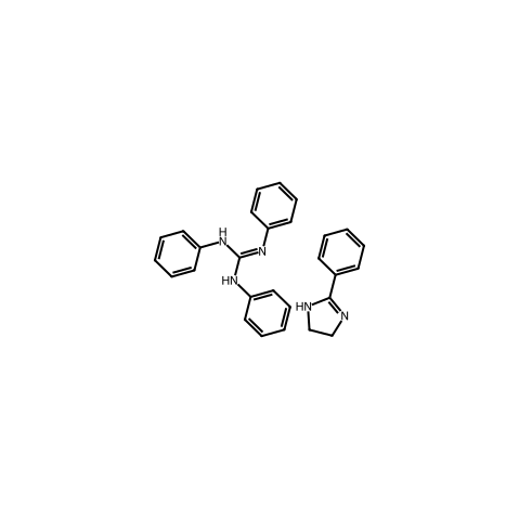 c1ccc(C2=NCCN2)cc1.c1ccc(N=C(Nc2ccccc2)Nc2ccccc2)cc1